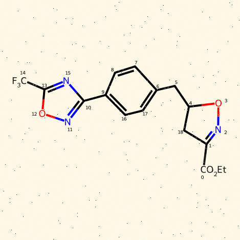 CCOC(=O)C1=NOC(Cc2ccc(-c3noc(C(F)(F)F)n3)cc2)C1